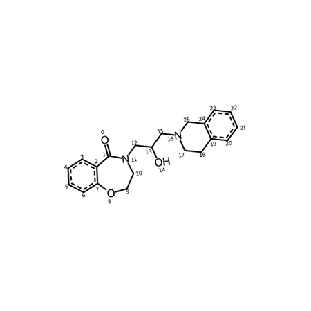 O=C1c2ccccc2OCCN1CC(O)CN1CCc2ccccc2C1